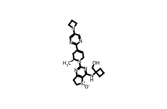 C[C@H]1CC(c2ncc(N3CCC3)cn2)=CCN1c1nc2c(c(NC3(CO)CCC3)n1)[S@+]([O-])CC2